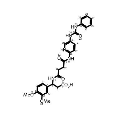 COc1ccc(C(CC(=O)O)NC(=O)CCC(=O)Nc2ccc(NC(=O)Nc3ccccc3)cn2)cc1OC